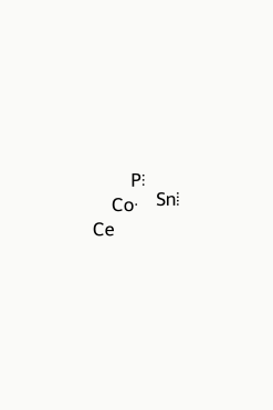 [Ce].[Co].[P].[Sn]